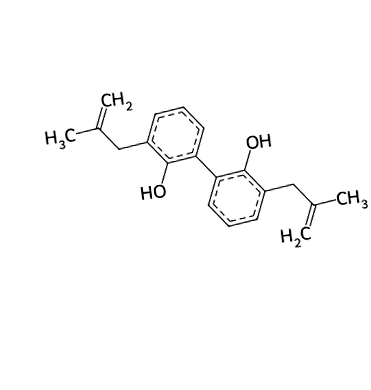 C=C(C)Cc1cccc(-c2cccc(CC(=C)C)c2O)c1O